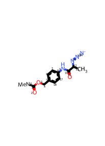 CNC(=O)OCc1ccc(NC(=O)C(C)N=[N+]=[N-])cc1